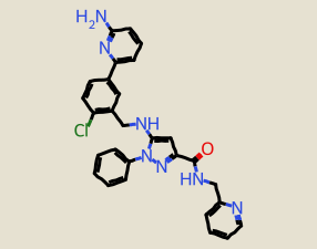 Nc1cccc(-c2ccc(Cl)c(CNc3cc(C(=O)NCc4ccccn4)nn3-c3ccccc3)c2)n1